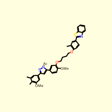 COc1ccc(-c2cc(-c3cc(C)c(C)c(OC)c3)nn2C(C)=O)cc1OCCCCOc1ccc(-c2nc3ccccc3s2)cc1C